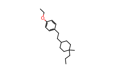 CCCC1(C)CCC(CCc2ccc(OCC)cc2)CC1